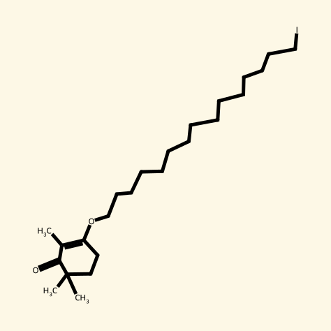 CC1=C(OCCCCCCCCCCCCCCCI)CCC(C)(C)C1=O